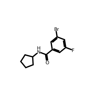 O=C(NC1CCCC1)c1cc(F)cc(Br)c1